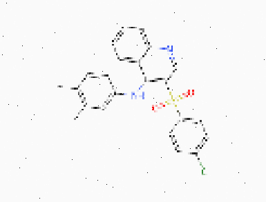 Cc1ccc(Nc2c(S(=O)(=O)c3ccc(Cl)cc3)cnc3ccccc23)cc1C